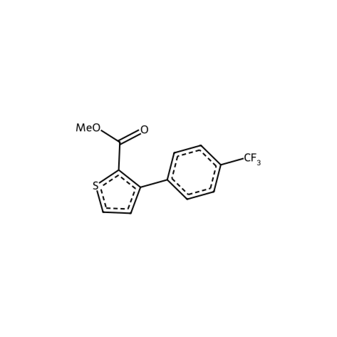 COC(=O)c1sccc1-c1ccc(C(F)(F)F)cc1